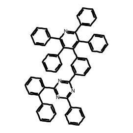 c1ccc(-c2nc(-c3cccc(-c4c(-c5ccccc5)c(-c5ccccc5)nc(-c5ccccc5)c4-c4ccccc4)c3)nc(-c3ccccc3-c3ccccc3)n2)cc1